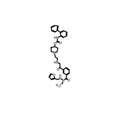 CCN(NCc1ccco1)C(=O)c1cccc(C(=O)CNCCN2CCC(OC(=O)Nc3ccccc3-c3ccccc3)CC2)c1